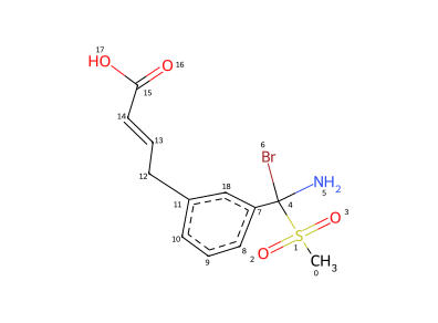 CS(=O)(=O)C(N)(Br)c1cccc(CC=CC(=O)O)c1